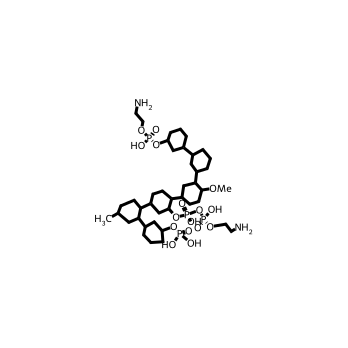 COC1CCC(C2CCC(C3CCC(C)CC3C3CCCC(OP(=O)(O)O)C3)CC2OP(=O)(O)OP(=O)(O)OCCN)CC1C1CCCC(C2CCCC(OP(=O)(O)OCCN)C2)C1